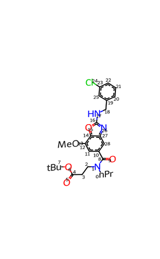 CCCN(CCC(=O)OC(C)(C)C)C(=O)c1cc(OC)c2oc(NCc3cccc(Cl)c3)nc2c1